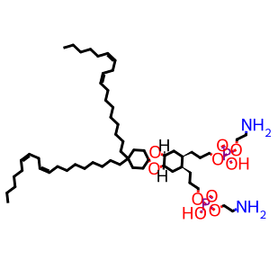 CCCCC/C=C\C/C=C\CCCCCCCCC1(CCCCCCCC/C=C\C/C=C\CCCCC)CCC2(CC1)O[C@H]1C[C@@H](CCCOP(=O)(O)OCCN)[C@@H](CCCOP(=O)(O)OCCN)C[C@@H]1O2